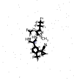 Cn1nc(C(F)(F)C(F)(F)F)c(OC(F)F)c1N/C=C(\C=N)c1ccc(C(F)(F)F)c(C2(C#N)CC2)c1